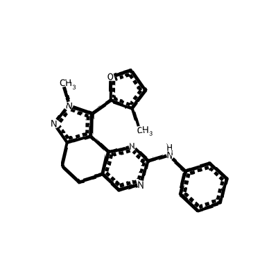 Cc1ccoc1-c1c2c(nn1C)CCc1cnc(Nc3ccccc3)nc1-2